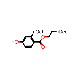 CCCCCCCCCCCCOC(=O)c1ccc(O)cc1CCCCCCCC